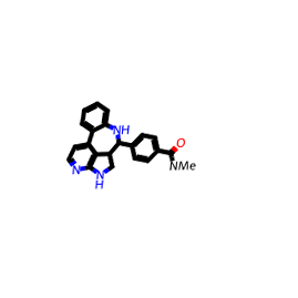 CNC(=O)c1ccc(C2Nc3ccccc3-c3ccnc4c3C2CN4)cc1